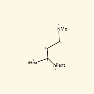 CCCCCCC(CCCCC)CCNC